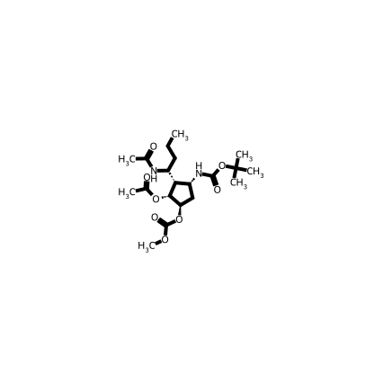 CCCC(NC(C)=O)[C@H]1[C@@H](OC(C)=O)[C@H](OC(=O)OC)C[C@H]1NC(=O)OC(C)(C)C